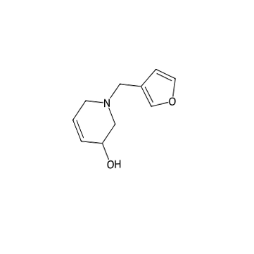 OC1C=CCN(Cc2ccoc2)C1